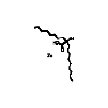 CCCCCCCCCC(S)(CCCCCCCC)C(=O)O.[Zn]